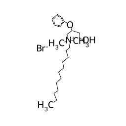 CCCCCCCCCCCC[N+](C)(C)CC(CCO)Oc1ccccc1.[Br-]